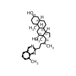 Cc1cccc2cnc(CC[C@@H](C)[C@H]3CC[C@H]4[C@@H]5CC[C@@H]6C[C@H](O)CC[C@]6(C)C5C[C@H](O)[C@]34C)nc12